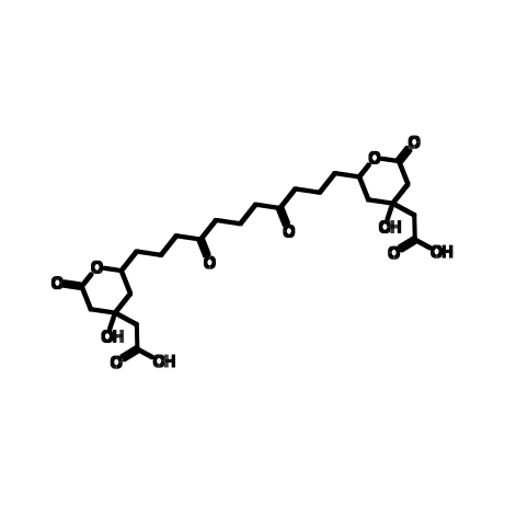 O=C(O)CC1(O)CC(=O)OC(CCCC(=O)CCCC(=O)CCCC2CC(O)(CC(=O)O)CC(=O)O2)C1